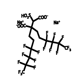 O=C([O-])C(C(CCC(F)(F)C(F)(F)C(F)(F)C(F)(F)F)(CCC(F)(F)C(F)(F)C(F)(F)C(F)(F)F)C(=O)[O-])S(=O)(=O)O.[Na+].[Na+]